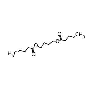 CCCCC(=O)OCCCCOC(=O)CCCC